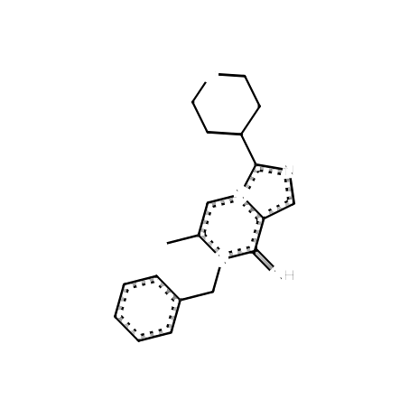 Cc1cn2c(C3CCOCC3)ncc2c(=N)n1Cc1ccccc1